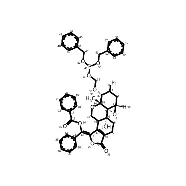 CC(C)C1C[C@@H]2O[C@@]23[C@@]2(C)CCC4=C(/C(=C(\OC(=O)c5ccccc5)c5ccccc5)OC4=O)C2CO[C@]3(C)[C@@H]1OCOP(OCc1ccccc1)OCc1ccccc1